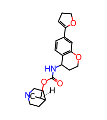 O=C(NC1CCOc2cc(C3=CCCO3)ccc21)O[C@@H]1CN2CCC1CC2